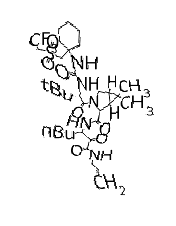 C=CCNC(=O)C(=O)C(CCCC)NC(=O)[C@@H]1[C@@H]2[C@H](CN1C(=O)[C@@H](NC(=O)NC1(CS(=O)(=O)CC(F)(F)F)CCCCC1)C(C)(C)C)C2(C)C